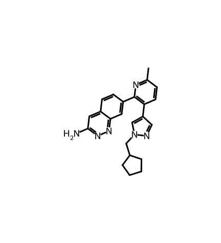 Cc1ccc(-c2cnn(CC3CCCC3)c2)c(-c2ccc3cc(N)nnc3c2)n1